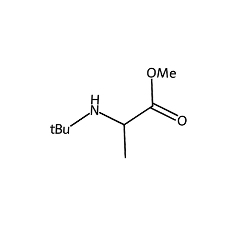 COC(=O)C(C)NC(C)(C)C